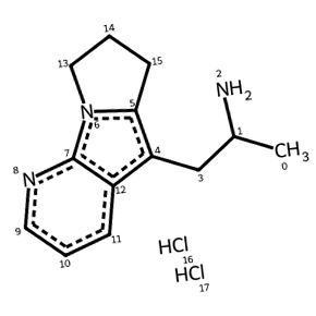 CC(N)Cc1c2n(c3ncccc13)CCC2.Cl.Cl